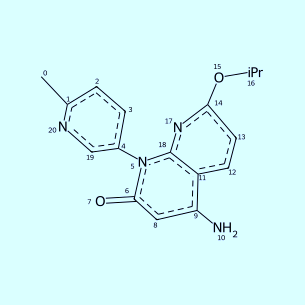 Cc1ccc(-n2c(=O)cc(N)c3ccc(OC(C)C)nc32)cn1